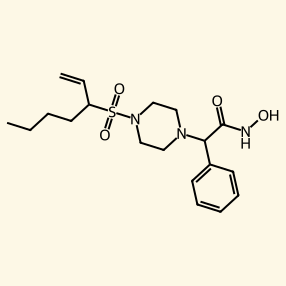 C=CC(CCCC)S(=O)(=O)N1CCN(C(C(=O)NO)c2ccccc2)CC1